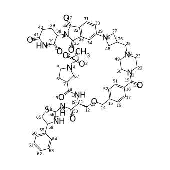 CS(=O)(=O)N1CCC(C(=O)N[C@@H](COCc2ccc(C(=O)N3CCN(CC4CN(c5ccc6c(c5)C(=O)N(C5CCC(=O)NC5=O)C6=O)C4)CC3)cc2)C(=O)NC2NC(c3ccccc3)CS2)C1